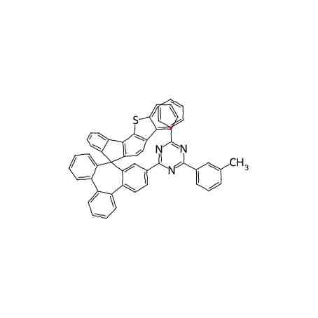 Cc1cccc(-c2nc(-c3ccccc3)nc(-c3ccc4c(c3)C3(c5ccccc5-c5ccccc5-4)c4ccccc4-c4c3ccc3c4sc4ccccc43)n2)c1